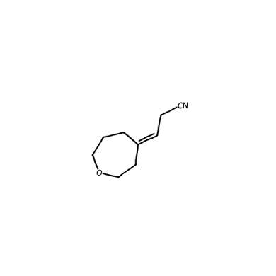 N#CC/C=C1\CCCOCC1